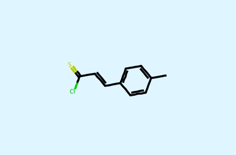 Cc1ccc(C=CC(=S)Cl)cc1